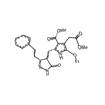 CCOc1[nH]c(C=C2C(=O)NN=C2CCc2ccccc2)c(C(=O)OC)c1CC(=O)OC